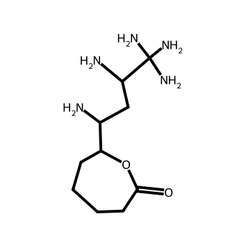 NC(CC(N)C(N)(N)N)C1CCCCC(=O)O1